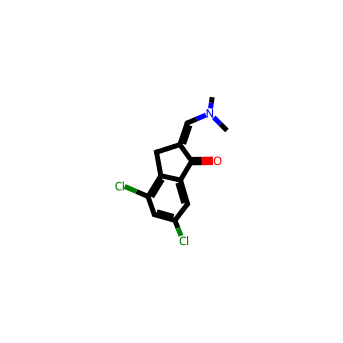 CN(C)/C=C1/Cc2c(Cl)cc(Cl)cc2C1=O